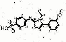 [C-]#[N+]c1cccc(-c2cs/c(=N\c3ccc(S(=O)(=O)O)cc3)n2CC)c1